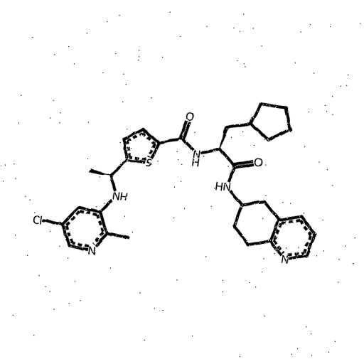 Cc1ncc(Cl)cc1N[C@@H](C)c1ccc(C(=O)N[C@@H](CC2CCCC2)C(=O)NC2CCc3ncccc3C2)s1